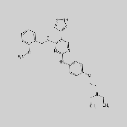 CCN(CC)CCOc1ccc(Nc2ncc(-c3cn[nH]c3)c(NCc3ccccc3OC)n2)cc1